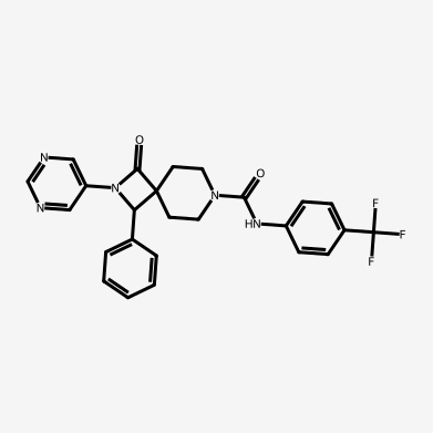 O=C(Nc1ccc(C(F)(F)F)cc1)N1CCC2(CC1)C(=O)N(c1cncnc1)C2c1ccccc1